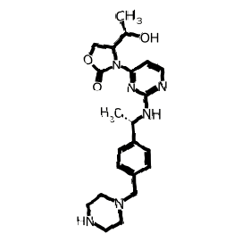 C[C@H](Nc1nccc(N2C(=O)OCC2[C@@H](C)O)n1)c1ccc(CN2CCNCC2)cc1